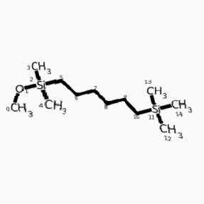 CO[Si](C)(C)CCCCCC[Si](C)(C)C